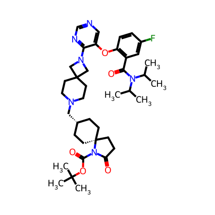 CC(C)N(C(=O)c1cc(F)ccc1Oc1cncnc1N1CC2(CCN(C[C@H]3CC[C@@]4(CCC(=O)N4C(=O)OC(C)(C)C)CC3)CC2)C1)C(C)C